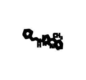 C[C@@H](c1ccccc1)c1cnc(NCCc2ccccc2)nc1N